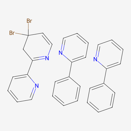 BrC1(Br)C=CN=C(c2ccccn2)C1.c1ccc(-c2ccccn2)cc1.c1ccc(-c2ccccn2)cc1